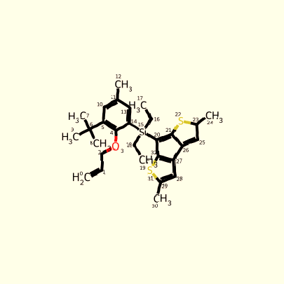 C=CCOc1c(C(C)(C)C)cc(C)cc1[Si](CC)(CC)C1=C2SC(C)C=C2c2cc(C)sc21